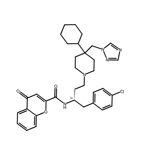 O=C(N[C@H](CCN1CCC(Cn2cncn2)(C2CCCCC2)CC1)Cc1ccc(Cl)cc1)c1cc(=O)c2ccccc2o1